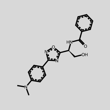 CN(C)c1ccc(-c2noc([C@H](CO)NC(=O)c3ccccc3)n2)cc1